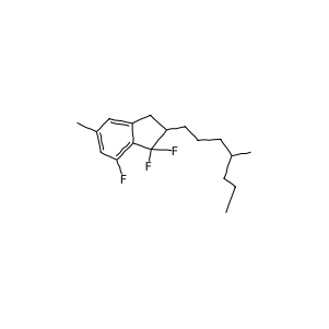 CCCC(C)CCCC1Cc2cc(C)cc(F)c2C1(F)F